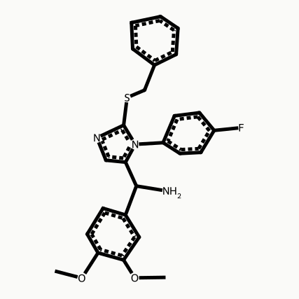 COc1ccc(C(N)c2cnc(SCc3ccccc3)n2-c2ccc(F)cc2)cc1OC